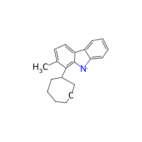 Cc1ccc2c(c1C1CCCCCC1)[N]c1ccccc1-2